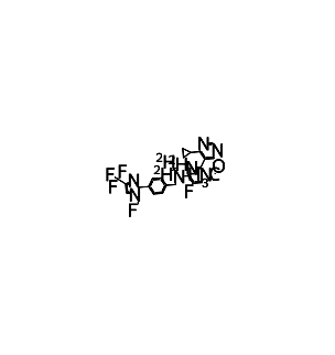 [2H]C([2H])([2H])N(Cc1ccc(-c2nc(C(F)(F)F)cn2CF)cc1)c1nc(-c2c(OC)ncnc2C2CC2)ncc1F